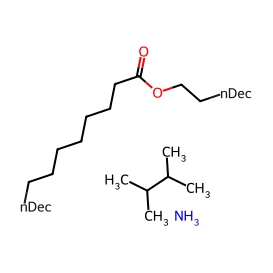 CC(C)C(C)C.CCCCCCCCCCCCCCCCCC(=O)OCCCCCCCCCCCC.N